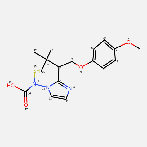 COc1ccc(OCC(c2nccn2N(S)C(=O)O)C(C)(C)C)cc1